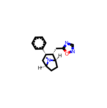 CN1[C@H]2CC[C@@H]1[C@@H](Cc1ncno1)[C@@H](c1ccccc1)C2